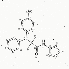 CC(=O)c1ccc(C(c2ccccc2)C(C)(C)C(=O)Nc2nccs2)cc1